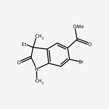 CCC1(C)C(=O)N(C)c2cc(Br)c(C(=O)OC)cc21